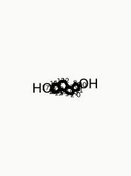 C[C@]12CC[C@]3(C)C(=C1C[C@@H](O)C2)CCc1cc(O)ccc13